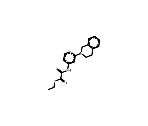 CCOC(=O)C(=O)Nc1ccnc(N2CCc3ccccc3C2)c1